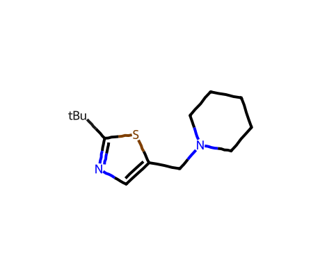 CC(C)(C)c1ncc(CN2CCCCC2)s1